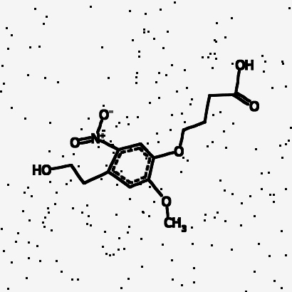 COc1cc(CCO)c([N+](=O)[O-])cc1OCCCC(=O)O